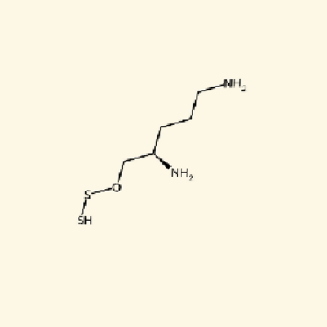 NCCC[C@@H](N)COSS